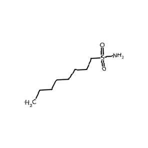 [CH2]CCCCCCCS(N)(=O)=O